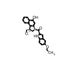 CCOc1ccc2[nH]c(C(=O)N3C[C@@H](CCl)c4c3cc(O)c3ccccc43)cc2c1